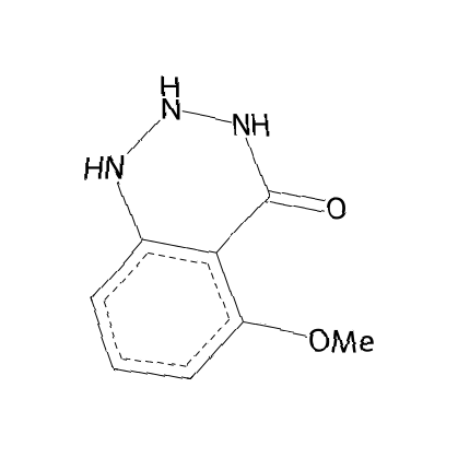 COc1cccc2c1C(=O)NNN2